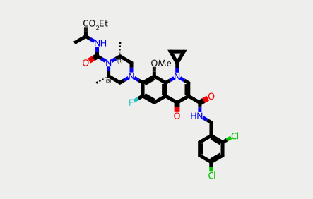 CCOC(=O)C(C)NC(=O)N1[C@H](C)CN(c2c(F)cc3c(=O)c(C(=O)NCc4ccc(Cl)cc4Cl)cn(C4CC4)c3c2OC)C[C@@H]1C